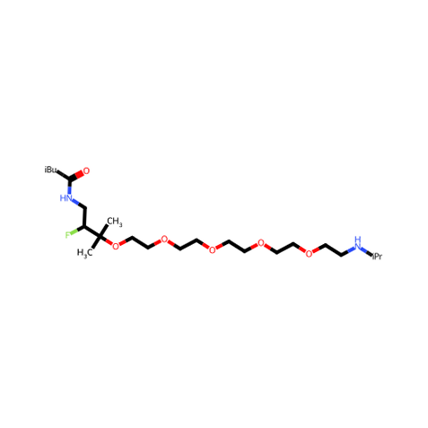 CCC(C)C(=O)NCC(F)C(C)(C)OCCOCCOCCOCCOCCNC(C)C